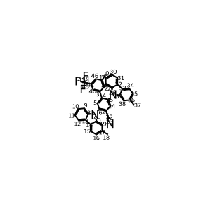 Cc1cc(-c2cc(-n3c4ccccc4c4ccc(C)cc43)c(C#N)cc2-n2c3ccccc3c3ccc(C)cc32)cc(C(F)(F)F)c1